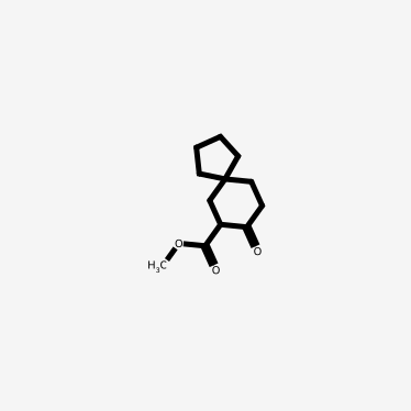 COC(=O)C1CC2(CCCC2)CCC1=O